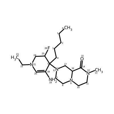 CCCCCC1(N2CCN3CCN(C)C(=O)C3C2)C(N)=CN(CC)CC1F